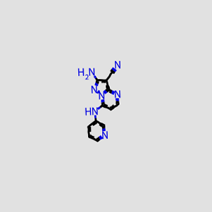 N#Cc1c(N)nn2c(Nc3cccnc3)ccnc12